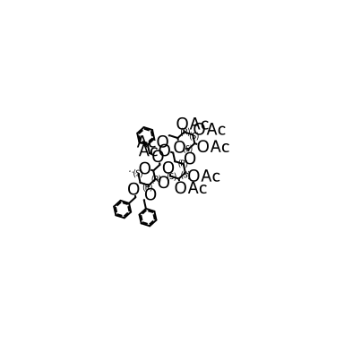 CC(=O)OCC1O[C@@H](O[C@@H]2C(COC(C)=O)O[C@@H](O[C@@H]3C(COCc4ccccc4)O[C@@H](C)C(OCc4ccccc4)[C@H]3OCc3ccccc3)C(OC(C)=O)[C@H]2OC(C)=O)C(OC(C)=O)[C@@H](OC(C)=O)[C@@H]1OC(C)=O